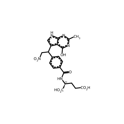 Cc1nc(O)c2c(C(C[N+](=O)[O-])c3ccc(C(=O)N[C@@H](CCC(=O)O)C(=O)O)cc3)c[nH]c2n1